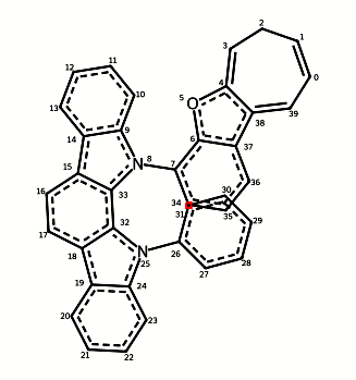 C1=CCC=c2oc3c(-n4c5ccccc5c5ccc6c7ccccc7n(-c7ccccc7)c6c54)cccc3c2=C1